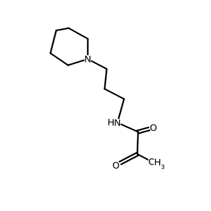 CC(=O)C(=O)NCCCN1CCCCC1